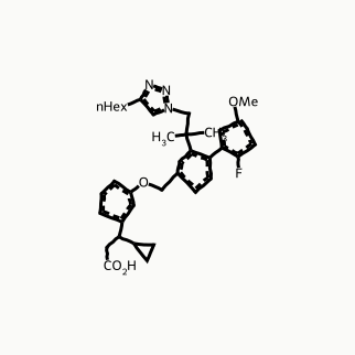 CCCCCCc1cn(CC(C)(C)c2cc(COc3cccc(C(CC(=O)O)C4CC4)c3)ccc2-c2cc(OC)ccc2F)nn1